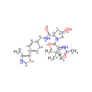 CC(=O)N[C@H](C(=O)N1C[C@H](O)C[C@H]1C(=O)NCC1C=CC(c2scnc2C)=CC1)C(C)(C)C